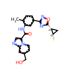 Cc1ccc(-c2noc([C@@H]3C[C@@H]3F)n2)cc1NC(=O)c1cnc2cc(CO)ccn12